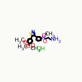 COc1cc(-c2sncc2-c2cccc(N(OC)C(=O)CCN)c2)cc(OC)c1OC.Cl